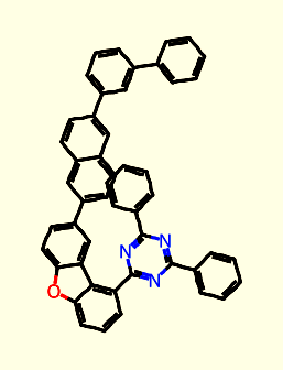 c1ccc(-c2cccc(-c3ccc4cc(-c5ccc6oc7cccc(-c8nc(-c9ccccc9)nc(-c9ccccc9)n8)c7c6c5)ccc4c3)c2)cc1